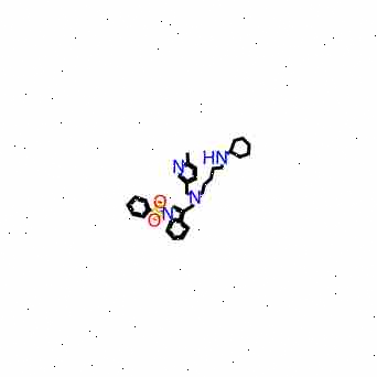 Cc1ccc(CN(CCCCCNC2CCCCC2)Cc2cn(S(=O)(=O)c3ccccc3)c3ccccc23)cn1